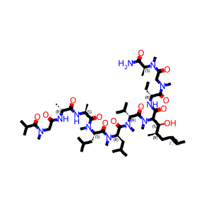 C/C=C/C[C@@H](C)[C@H](O)C(C(=O)N[C@H](CC)C(=O)N(C)CC(=O)N(C)[C@@H](C)C(N)=O)N(C)C(=O)[C@@H](C(C)C)N(C)C(=O)[C@@H](CC(C)C)N(C)C(=O)[C@H](CC(C)C)N(C)C(=O)[C@H](C)NC(=O)[C@@H](C)NC(=O)CN(C)C(=O)C(C)C